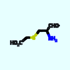 N[C@H]([C]=O)CSCC(=O)O